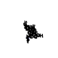 C=C/C=C\[C@H](C)[C@H](OCc1ccc(OC)cc1)[C@@H](C)[C@H](O[Si](C)(C)C(C)(C)C)[C@@H](C)C(=O)O